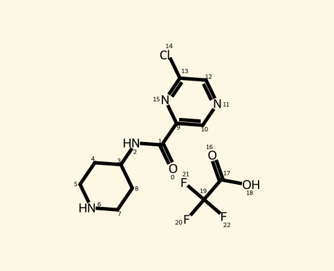 O=C(NC1CCNCC1)c1cncc(Cl)n1.O=C(O)C(F)(F)F